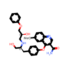 COc1ccc2ncc(C(N)=O)c(Oc3ccc(C[C@@H](CO)NC[C@H](O)COc4ccccc4)cc3)c2c1